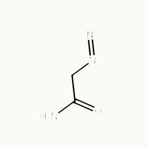 [N]=NCC(N)=O